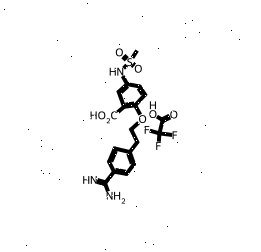 CS(=O)(=O)Nc1ccc(OCCc2ccc(C(=N)N)cc2)c(C(=O)O)c1.O=C(O)C(F)(F)F